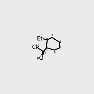 CCC1CCCCC1C(=O)Cl